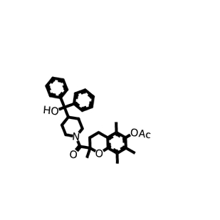 CC(=O)Oc1c(C)c(C)c2c(c1C)CCC(C)(C(=O)N1CCC(C(O)(c3ccccc3)c3ccccc3)CC1)O2